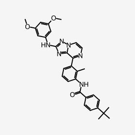 COc1cc(Nc2nc3c(-c4cccc(NC(=O)c5ccc(C(C)(C)C)cc5)c4C)nccn3n2)cc(OC)c1